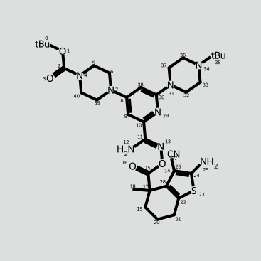 CC(C)(C)OC(=O)N1CCN(c2cc(/C(N)=N/OC(=O)C3(C)CCCc4sc(N)c(C#N)c43)nc(N3CCN(C(C)(C)C)CC3)c2)CC1